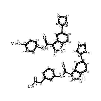 CCNCc1cccc(NC(=O)c2n[nH]c3ccc(-c4cncs4)cc23)c1.COc1ccc(NC(=O)c2n[nH]c3ccc(-c4cnco4)cc23)cn1